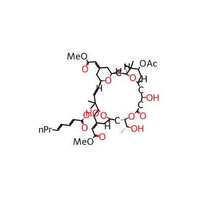 CCC/C=C/C=C/C(=O)O[C@H]1/C(=C/C(=O)OC)C[C@H]2C[C@@H]([C@@H](C)O)OC(=O)C[C@H](O)C[C@H]3C[C@H](OC(C)=O)C(C)(C)[C@H](C[C@@H]4C/C(=C/C(=O)OC)C[C@@H](/C=C/C(C)(C)[C@]1(O)O2)O4)O3